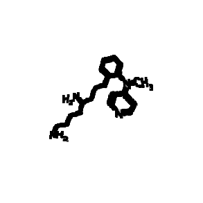 CN(c1ccncc1)c1ccccc1CCCC(N)CCCCN